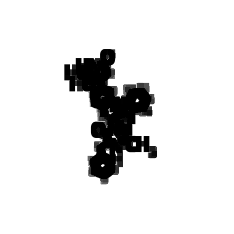 CC(=O)N[C@@H](Cc1ccccc1)C(=O)N[C@H](Cc1ccc(C2CC(=O)NS2(O)O)cc1)c1nc2ccccc2[nH]1